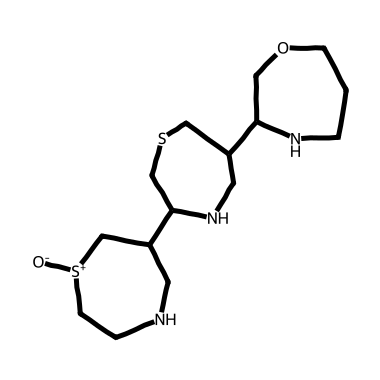 [O-][S+]1CCNCC(C2CSCC(C3COCCCN3)CN2)C1